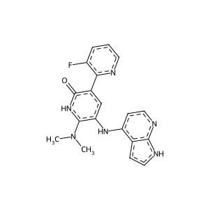 CN(C)c1[nH]c(=O)c(-c2ncccc2F)cc1Nc1ccnc2[nH]ccc12